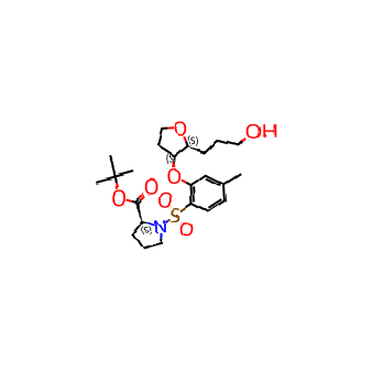 Cc1ccc(S(=O)(=O)N2CCC[C@H]2C(=O)OC(C)(C)C)c(O[C@H]2CCO[C@H]2CCCO)c1